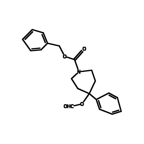 O=COC1(c2ccccc2)CCN(C(=O)OCc2ccccc2)CC1